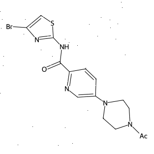 CC(=O)N1CCN(c2ccc(C(=O)Nc3nc(Br)cs3)nc2)CC1